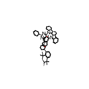 CC1CC(C)(C)c2c(-c3cccc(-c4cccc(-n5c6ccccc6c6ccc7c8ccccc8n(-c8nc(-c9ccccc9)nc(-c9ccccc9)n8)c7c65)c4)c3)cccc2C1(C)C